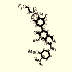 COC1C[C@H](Nc2ncc3cc(-c4cc(F)c(NS(=O)(=O)CCC(F)(F)F)c(F)c4)c(=O)n(C(C)C)c3n2)CC[C@H]1N(C)C